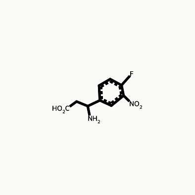 NC(CC(=O)O)c1ccc(F)c([N+](=O)[O-])c1